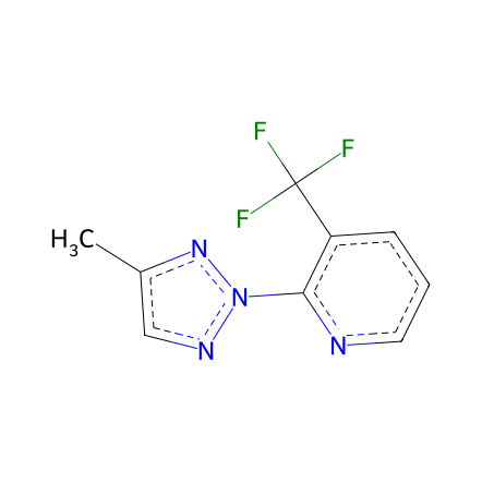 Cc1cnn(-c2ncccc2C(F)(F)F)n1